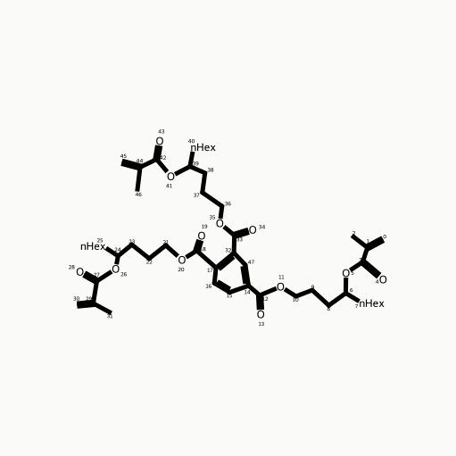 C=C(C)C(=O)OC(CCCCCC)CCCOC(=O)c1ccc(C(=O)OCCCC(CCCCCC)OC(=O)C(=C)C)c(C(=O)OCCCC(CCCCCC)OC(=O)C(=C)C)c1